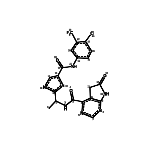 CC(NC(=O)c1ncnc2c1CC(=O)N2)c1ncc(C(=O)Nc2ccc(Cl)c(C(F)(F)F)c2)s1